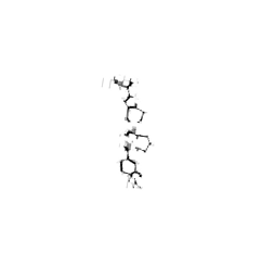 CNC(=O)c1cc2c(s1)CCN(C(=O)C1CCCN1C(=O)c1ccc3[nH]ncc3c1)C2